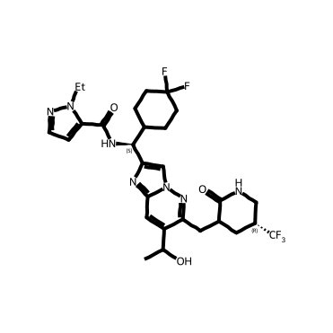 CCn1nccc1C(=O)N[C@H](c1cn2nc(CC3C[C@@H](C(F)(F)F)CNC3=O)c(C(C)O)cc2n1)C1CCC(F)(F)CC1